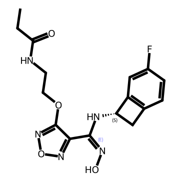 CCC(=O)NCCOc1nonc1/C(=N\O)N[C@H]1Cc2ccc(F)cc21